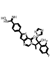 CC(n1cnc2cc(-c3ccc(C(=N)NO)cc3)sc2c1=O)C(O)(Cn1cncn1)c1ccc(F)cc1F